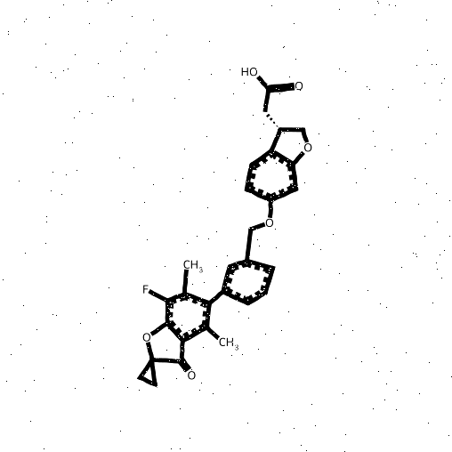 Cc1c(F)c2c(c(C)c1-c1cccc(COc3ccc4c(c3)OC[C@H]4CC(=O)O)c1)C(=O)C1(CC1)O2